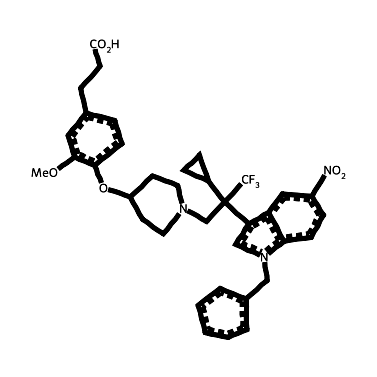 COc1cc(CCC(=O)O)ccc1OC1CCN(CC(c2cn(Cc3ccccc3)c3ccc([N+](=O)[O-])cc23)(C2CC2)C(F)(F)F)CC1